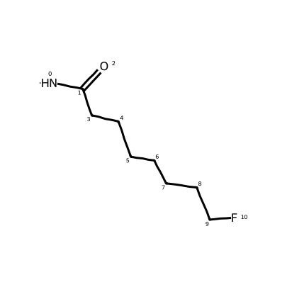 [NH]C(=O)CCCCCCCF